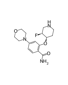 NC(=O)c1ccc(N2CCOCC2)cc1O[C@@H]1CCNC[C@@H]1F